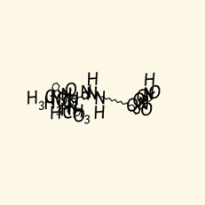 CCN(c1cc(-c2ccc(NCCNCCCCCCCCCCOc3cccc4c3C(=O)N(C3CCC(=O)NC3=O)C4=O)nc2)cc(C(=O)NCC2=C3CCCCC3=C(C)NC2O)c1C)C1CCOCC1